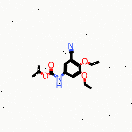 CCOc1cc(NC(=O)OC(C)C)cc(C#N)c1OCC